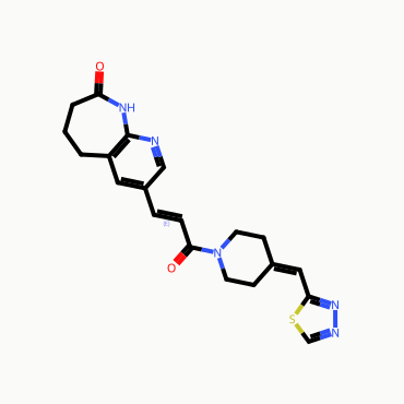 O=C1CCCc2cc(/C=C/C(=O)N3CCC(=Cc4nncs4)CC3)cnc2N1